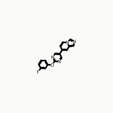 Fc1cccc(Oc2ncc(-c3ccn4cncc4c3)cn2)c1